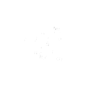 CC(C)CN(C(=O)C(N)=O)C(C)c1ccccc1